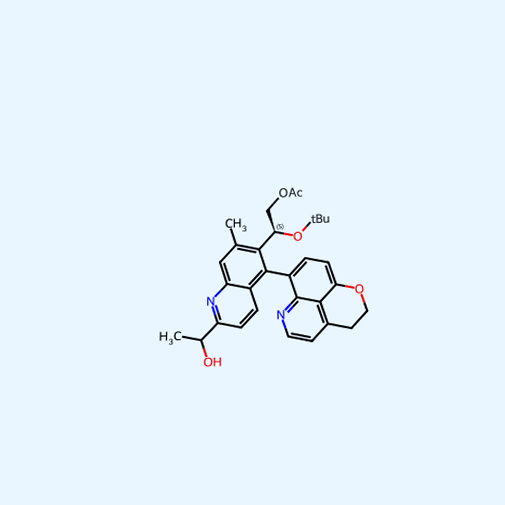 CC(=O)OC[C@@H](OC(C)(C)C)c1c(C)cc2nc(C(C)O)ccc2c1-c1ccc2c3c(ccnc13)CCO2